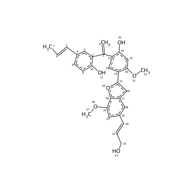 C=C(c1cc(/C=C/C)ccc1O)c1cc(-c2cc3cc(/C=C/CO)cc(OC)c3o2)c(OC)cc1O